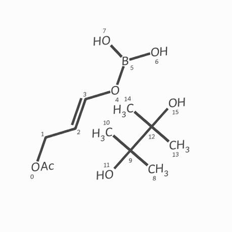 CC(=O)OCC=COB(O)O.CC(C)(O)C(C)(C)O